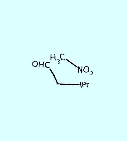 CC(C)CC=O.C[N+](=O)[O-]